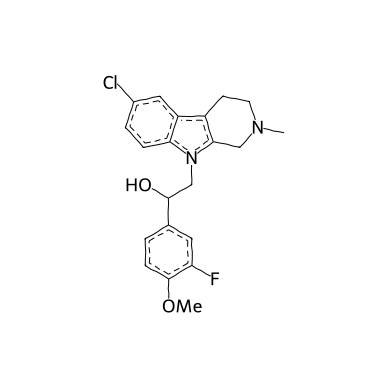 COc1ccc(C(O)Cn2c3c(c4cc(Cl)ccc42)CCN(C)C3)cc1F